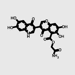 NC(=O)COC(=O)c1c(O)c(O)cc2occ(-c3c[nH]c4cc(O)c(O)cc4c3=O)c(=O)c12